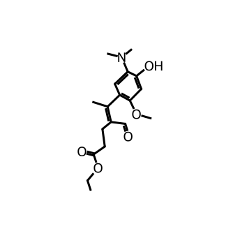 CCOC(=O)CC/C(C=O)=C(\C)c1cc(N(C)C)c(O)cc1OC